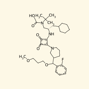 COCCCOC(c1ccccc1F)C1CCCN(c2c(N[C@@H](CC3CCCCC3)CN(C(=O)O)C(C)(C)C)c(=O)c2=O)C1